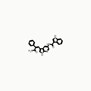 NC(=O)C(=Cc1c[nH]c2ncc(NC(=O)c3c[nH]c4ccccc34)cc12)c1ccccc1